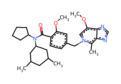 COc1cc(Cn2cc(OC)c3ncnc-3c2C)ccc1C(=O)N(C1CCCC1)C1CC(C)CC(C)C1